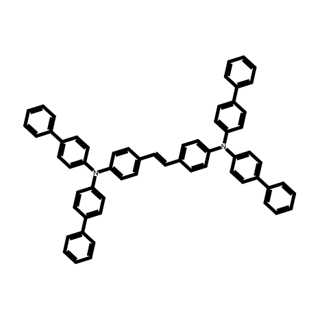 C(=Cc1ccc(N(c2ccc(-c3ccccc3)cc2)c2ccc(-c3ccccc3)cc2)cc1)c1ccc(N(c2ccc(-c3ccccc3)cc2)c2ccc(-c3ccccc3)cc2)cc1